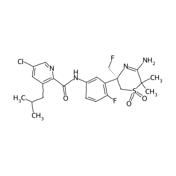 CC(C)Cc1cc(Cl)cnc1C(=O)Nc1ccc(F)c([C@]2(CF)CS(=O)(=O)C(C)(C)C(N)=N2)c1